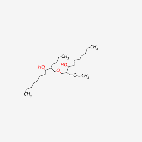 CCCCCCCC(O)C(CCCC)COCC(CCCC)C(O)CCCCCCC